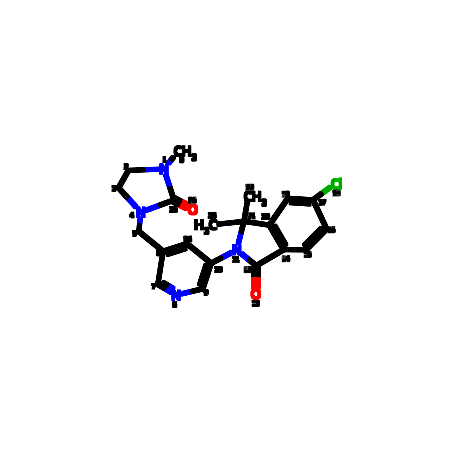 CN1CCN(Cc2cncc(N3C(=O)c4ccc(Cl)cc4C3(C)C)c2)C1=O